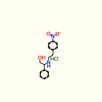 Cl.O=[N+]([O-])c1ccc(CCNC(CO)c2ccccc2)cc1